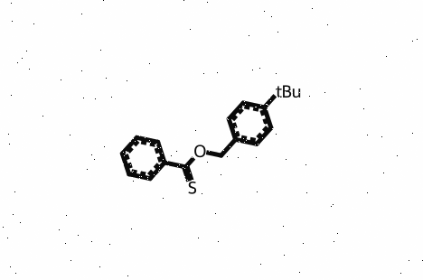 CC(C)(C)c1ccc(COC(=S)c2ccccc2)cc1